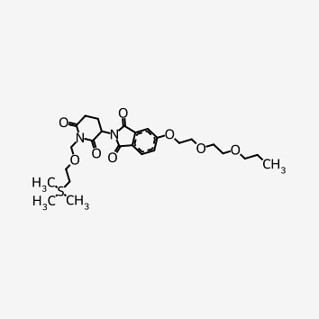 CCCOCCOCCOc1ccc2c(c1)C(=O)N(C1CCC(=O)N(COCCS(C)(C)C)C1=O)C2=O